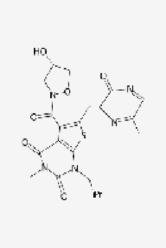 CC1=NC(Cc2sc3c(c2C(=O)N2C[C@H](O)CO2)c(=O)n(C)c(=O)n3CC(C)C)C(=O)N=C1